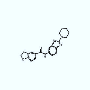 O=C(Nc1ccc2oc(N3CCCCC3)nc2c1)c1ccc2c(c1)OCO2